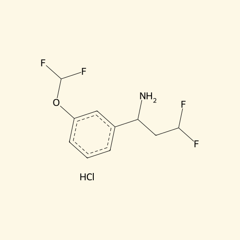 Cl.NC(CC(F)F)c1cccc(OC(F)F)c1